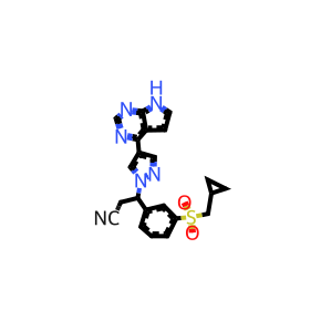 N#CCC(c1cccc(S(=O)(=O)CC2CC2)c1)n1cc(-c2ncnc3[nH]ccc23)cn1